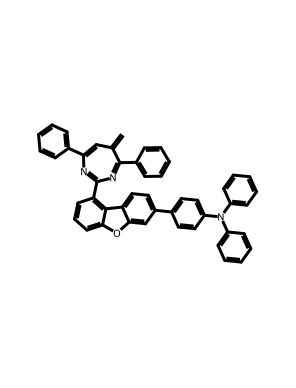 C=C1C=C(c2ccccc2)N=C(c2cccc3oc4cc(-c5ccc(N(c6ccccc6)c6ccccc6)cc5)ccc4c23)N=C1c1ccccc1